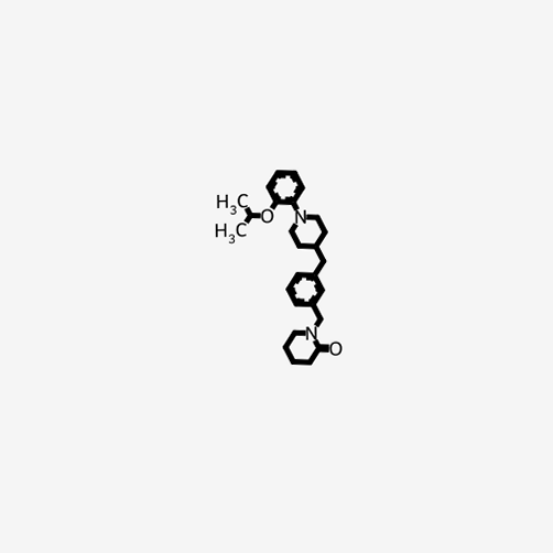 CC(C)Oc1ccccc1N1CCC(Cc2cccc(CN3CCCCC3=O)c2)CC1